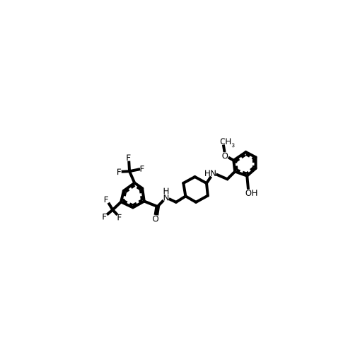 COc1cccc(O)c1CNC1CCC(CNC(=O)c2cc(C(F)(F)F)cc(C(F)(F)F)c2)CC1